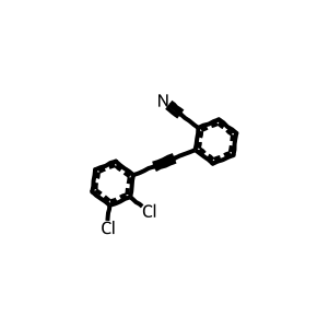 N#Cc1ccccc1C#Cc1cccc(Cl)c1Cl